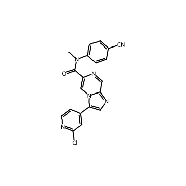 CN(C(=O)c1cn2c(-c3ccnc(Cl)c3)cnc2cn1)c1ccc(C#N)cc1